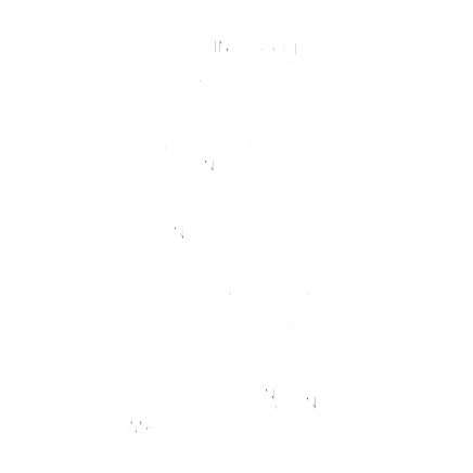 COc1cc(-c2ccc(N3CCC(C)(NC(=O)O)CC3)nc2)c2c(Cl)cnn2c1